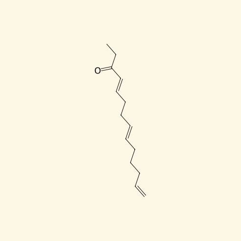 C=CCCCC=CCCC=CC(=O)CC